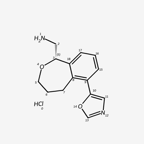 Cl.NC[C@H]1OCCCc2c(-c3cnco3)cccc21